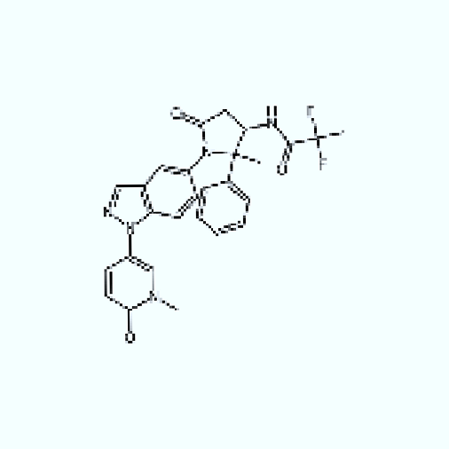 Cn1cc(-n2ncc3cc(N4C(=O)CC(NC(=O)C(C)(F)F)C4(C)c4ccccc4)ccc32)ccc1=O